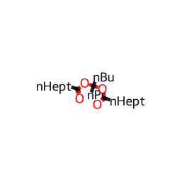 CCCCCCCC(=O)OC(CCC)(CCCC)OC(=O)CCCCCCC